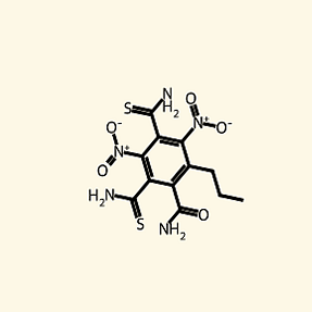 CCCc1c(C(N)=O)c(C(N)=S)c([N+](=O)[O-])c(C(N)=S)c1[N+](=O)[O-]